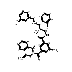 C=CCN(C(=O)c1cc(C)cc(C(=O)N[C@@H](Cc2ccccc2)[C@H](O)CNCc2cccc(C(F)(F)F)c2)c1)[C@H](C)c1ccccc1